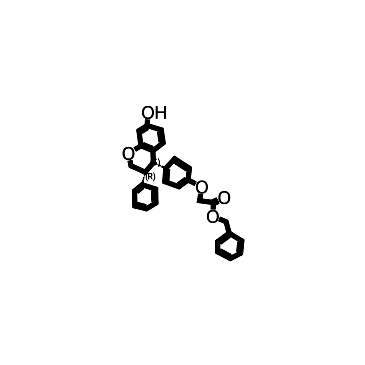 O=C(COc1ccc([C@H]2c3ccc(O)cc3OC[C@H]2c2ccccc2)cc1)OCc1ccccc1